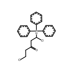 O=C(CCCl)CC(Cl)[PH](c1ccccc1)(c1ccccc1)c1ccccc1